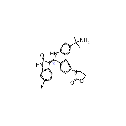 CC(C)(N)c1ccc(N/C(=C2\C(=O)Nc3cc(F)ccc32)c2ccc(N3CCOC3=O)cc2)cc1